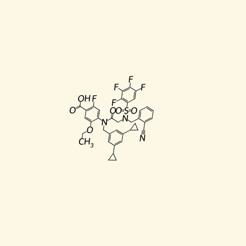 CCOc1cc(C(=O)O)c(F)cc1N(Cc1cc(C2CC2)cc(C2CC2)c1)C(=O)CN(Cc1ccccc1C#N)S(=O)(=O)c1cc(F)c(F)c(F)c1F